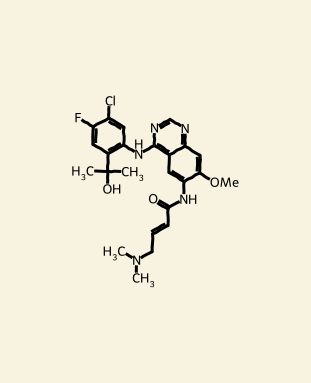 COc1cc2ncnc(Nc3cc(Cl)c(F)cc3C(C)(C)O)c2cc1NC(=O)C=CCN(C)C